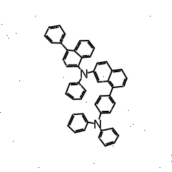 c1ccc(-c2ccc(N(c3ccccc3)c3ccc4cccc(-c5ccc(N(c6ccccc6)c6ccccc6)cc5)c4c3)c3ccccc23)cc1